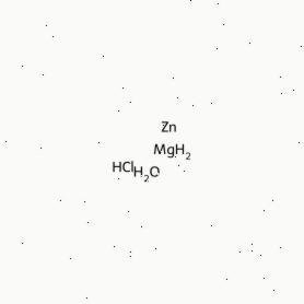 Cl.O.[MgH2].[Zn]